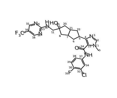 Cn1cnc(C2CC3CC(O)(CNc4ncc(C(F)(F)F)cn4)CC3C2)c1C(=O)Nc1ccc(F)c(Cl)c1